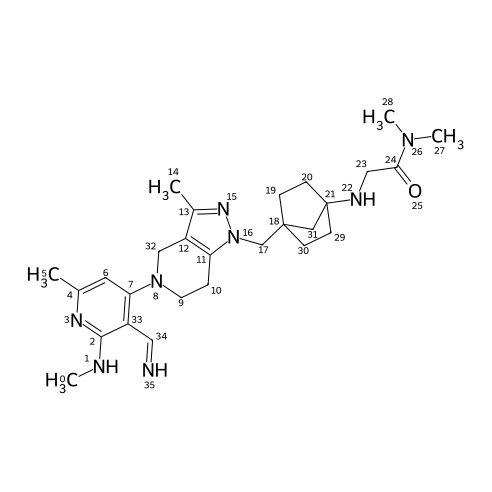 CNc1nc(C)cc(N2CCc3c(c(C)nn3CC34CCC(NCC(=O)N(C)C)(CC3)C4)C2)c1C=N